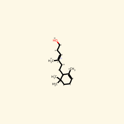 CC1=CCCC(C)(C)C1CC/C(C)=C/CCO